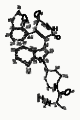 CC(N)C(=O)N1CCC(n2cc(C3=C(c4cccc5ccoc45)C(=O)NC3=O)c3ccccc32)CC1